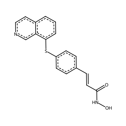 O=C(/C=C/c1ccc(Sc2cccc3ccncc23)cc1)NO